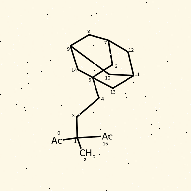 CC(=O)C(C)(CCC12CC3CC(CC(C3)C1)C2)C(C)=O